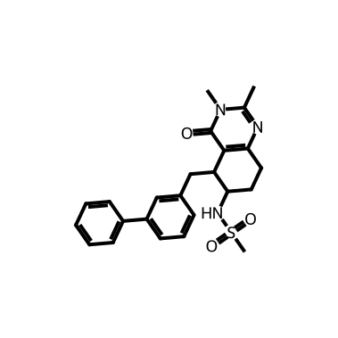 Cc1nc2c(c(=O)n1C)C(Cc1cccc(-c3ccccc3)c1)C(NS(C)(=O)=O)CC2